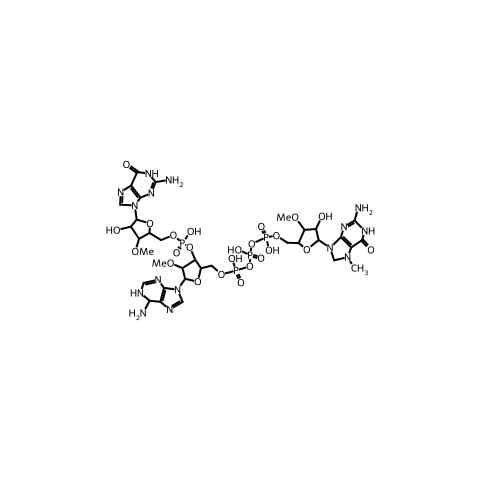 COC1C(COP(=O)(O)OP(=O)(O)OP(=O)(O)OCC2OC(n3cnc4c3N=CNC4N)C(OC)C2OP(=O)(O)OCC2OC(n3cnc4c(=O)[nH]c(N)nc43)C(O)C2OC)OC(N2CN(C)c3c2nc(N)[nH]c3=O)C1O